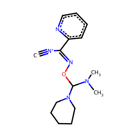 [C-]#[N+]C(=NOC(N(C)C)N1CCCCC1)c1ccccn1